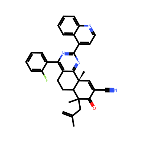 C=C(C)CC1(C)C(=O)C(C#N)=C[C@@]2(C)c3nc(-c4ccnc5ccccc45)nc(-c4ccccc4F)c3CCC12